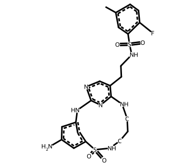 Cc1ccc(F)c(S(=O)(=O)NCCc2cnc3nc2NCCCNS(=O)(=O)c2cc(N)cc(c2)N3)c1